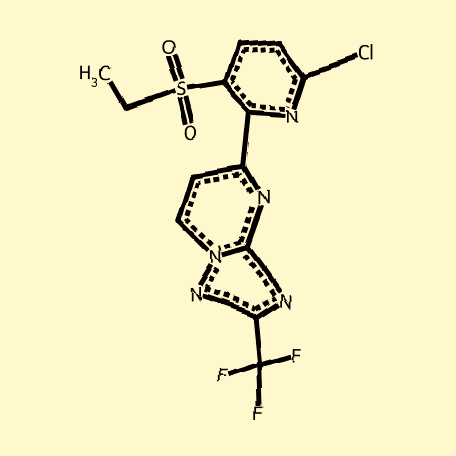 CCS(=O)(=O)c1ccc(Cl)nc1-c1ccn2nc(C(F)(F)F)nc2n1